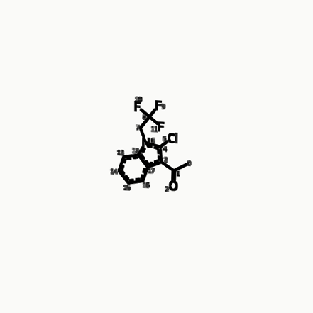 CC(=O)c1c(Cl)n(CC(F)(F)F)c2ccccc12